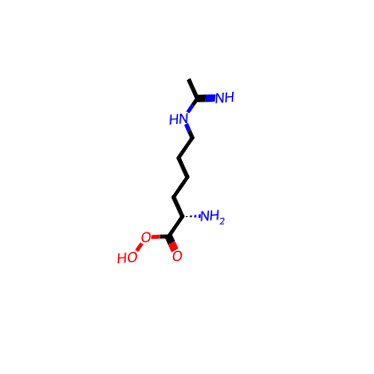 CC(=N)NCCCC[C@H](N)C(=O)OO